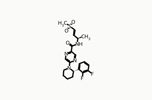 C[C@H](/C=C/S(C)(=O)=O)NC(=O)c1cnc(N2CCCC[C@H]2c2cccc(F)c2F)cn1